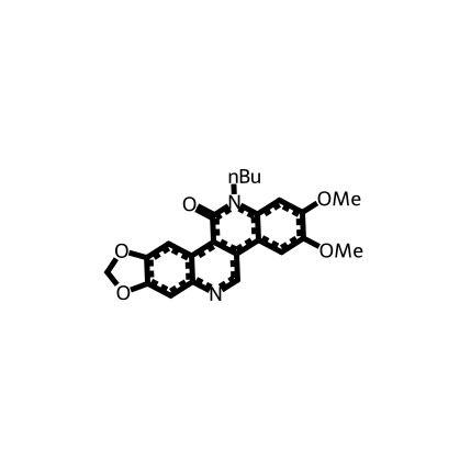 CCCCn1c(=O)c2c3cc4c(cc3ncc2c2cc(OC)c(OC)cc21)OCO4